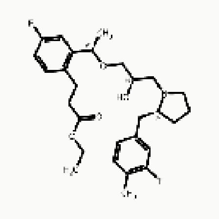 CCOC(=O)CCc1ccc(F)cc1[C@@H](C)OC[C@H](O)CN1CCC[C@H]1Cc1ccc(C)c(F)c1